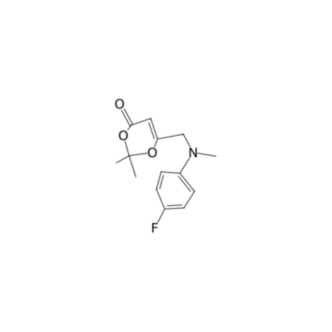 CN(CC1=CC(=O)OC(C)(C)O1)c1ccc(F)cc1